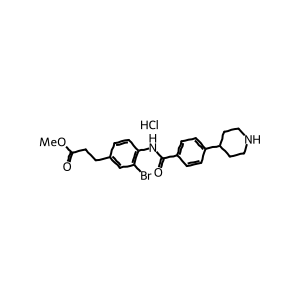 COC(=O)CCc1ccc(NC(=O)c2ccc(C3CCNCC3)cc2)c(Br)c1.Cl